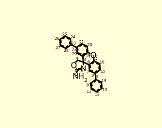 NC1=NC2(CO1)c1cc(-c3ccccc3)ccc1Oc1ccc(-c3ccccc3)cc12